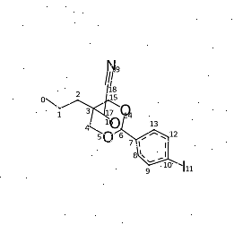 CCCC12COC(c3ccc(I)cc3)(OC1)OC2C#N